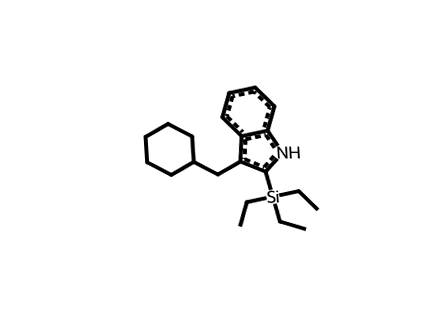 CC[Si](CC)(CC)c1[nH]c2ccccc2c1CC1CCCCC1